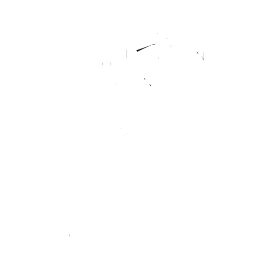 COc1ccc2cc(C(=O)N[C@H]3CN4CCC3CC4)sc2c1